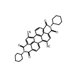 [C-]#[N+]c1cc2c3c(ccc4c5c(C#N)cc6c7c(ccc(c1c34)c75)C(=O)N(C1CCCCC1)C6=O)C(=O)N(C1CCCCC1)C2=O